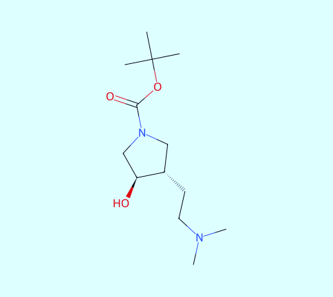 CN(C)CC[C@H]1CN(C(=O)OC(C)(C)C)C[C@@H]1O